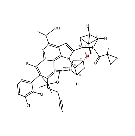 CC(O)c1nc2c(F)c(-c3cccc(Cl)c3Cl)c(CCC#N)cc2c2c1cc([C@H]1C3[C@@H]4[C@H](N1C(=O)C1(F)CC1)[C@]34C)n2[C@H]1[C@@H]2C[C@H]1N(C(=O)OC(C)(C)C)C2